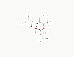 C[C@H]1CCN1c1nc(N2C[C@H]3C[C@@H](C2)C3CC(=O)N2CCNCC2)c2c(n1)C(F)(F)CCC2